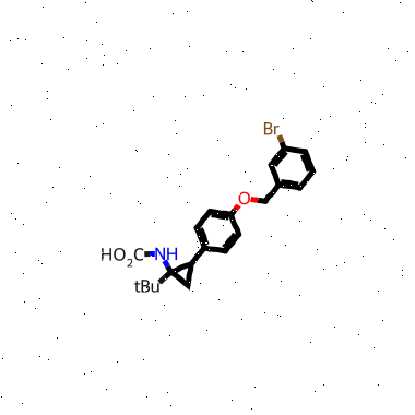 CC(C)(C)C1(NC(=O)O)CC1c1ccc(OCc2cccc(Br)c2)cc1